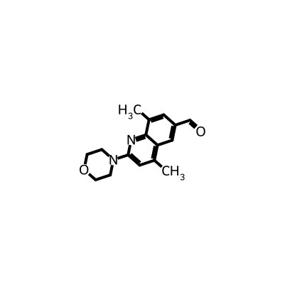 Cc1cc(N2CCOCC2)nc2c(C)cc(C=O)cc12